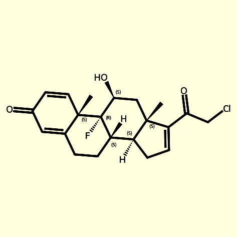 C[C@]12C=CC(=O)C=C1CC[C@H]1[C@@H]3CC=C(C(=O)CCl)[C@@]3(C)C[C@H](O)[C@@]12F